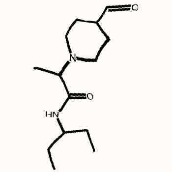 CCC(CC)NC(=O)C(C)N1CCC(C=O)CC1